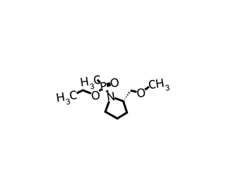 CCOP(C)(=O)N1CCC[C@H]1COC